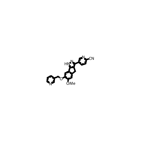 COc1cc2c(cc1OCc1cccnc1)-c1[nH]nc(-c3ccc(C#N)nc3)c1C2